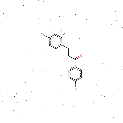 O=C(CCc1ccc(Cl)cc1)c1ccc(Cl)cc1